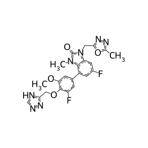 COc1cc(-c2cc(F)cc3c2n(C)c(=O)n3Cc2nnc(C)o2)cc(F)c1OCc1nnc[nH]1